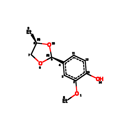 CCOc1cc([C@H]2OC[C@@H](CC)O2)ccc1O